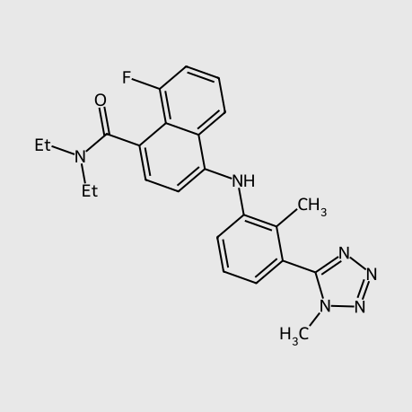 CCN(CC)C(=O)c1ccc(Nc2cccc(-c3nnnn3C)c2C)c2cccc(F)c12